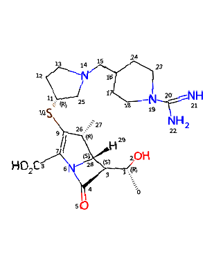 C[C@@H](O)[C@H]1C(=O)N2C(C(=O)O)=C(S[C@@H]3CCN(CC4CCN(C(=N)N)CC4)C3)[C@H](C)[C@H]12